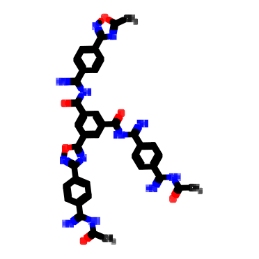 CC(=O)NC(=N)c1ccc(C(=N)NC(=O)c2cc(C(=O)NC(=N)c3ccc(-c4noc(C)n4)cc3)cc(-c3nc(-c4ccc(C(=N)NC(C)=O)cc4)no3)c2)cc1